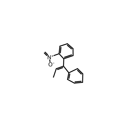 C=[N+]([O-])c1ccccc1C(=CC)c1ccccc1